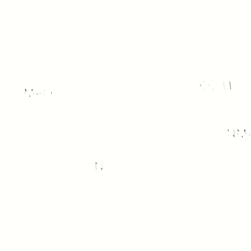 CNC(CCc1cncc(OC)c1)C(=O)O